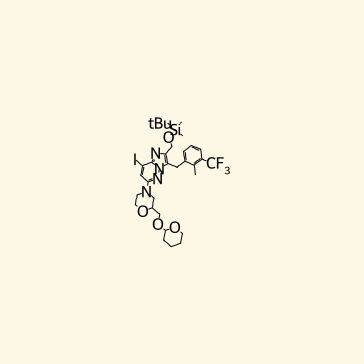 Cc1c(Cc2c(CO[Si](C)(C)C(C)(C)C)nc3c(I)cc(N4CCOC(COC5CCCCO5)C4)nn23)cccc1C(F)(F)F